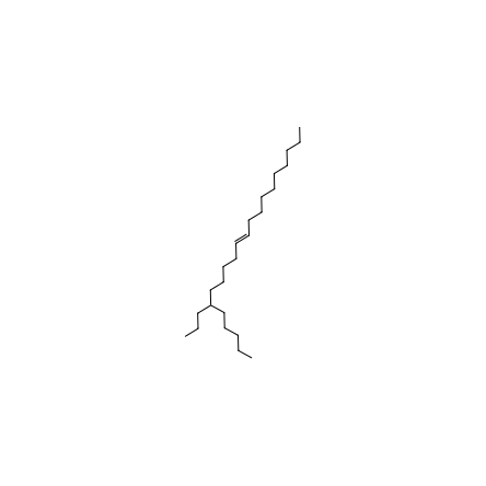 CCCCCCCCCC=CCCCCC(CCC)CCCCC